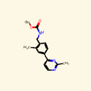 Cc1nccc(-c2ccc(CNC(=O)OC(C)(C)C)c(C)c2)n1